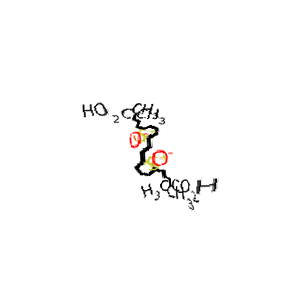 CC(C)(CCCC1CCCC(CCC2CCCC(CCCC(C)(C)C(=O)O)[S+]2[O-])[S+]1[O-])C(=O)O